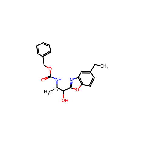 CCc1ccc2oc(C(O)[C@H](C)NC(=O)OCc3ccccc3)nc2c1